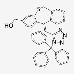 OCc1ccc2c(c1)SCc1ccccc1C2=Cc1nnnn1C(c1ccccc1)(c1ccccc1)c1ccccc1